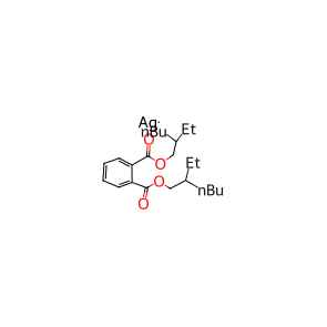 CCCCC(CC)COC(=O)c1ccccc1C(=O)OCC(CC)CCCC.[Ag]